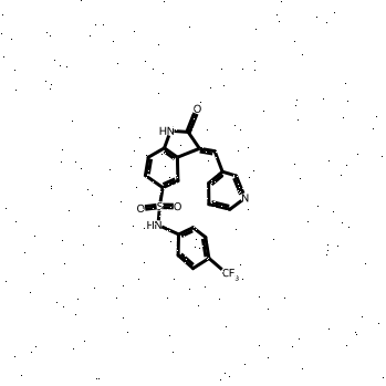 O=C1Nc2ccc(S(=O)(=O)Nc3ccc(C(F)(F)F)cc3)cc2C1=Cc1cccnc1